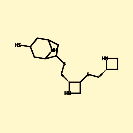 SC1CC2CC(SC[C@H]3NCC3SC[C@H]3CCN3)C(C1)N2